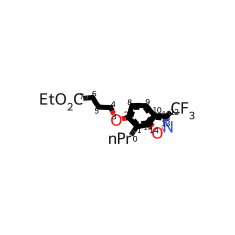 CCCc1c(OCCCC(=O)OCC)ccc2c(C(F)(F)F)noc12